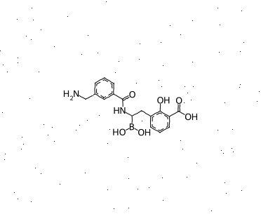 NCc1cccc(C(=O)NC(Cc2cccc(C(=O)O)c2O)B(O)O)c1